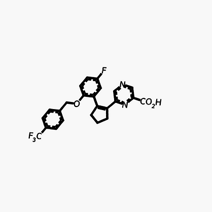 O=C(O)c1cncc(C2=C(c3cc(F)ccc3OCc3ccc(C(F)(F)F)cc3)CCC2)n1